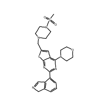 CS(=O)(=O)N1CCN(Cc2cc3c(N4CCOCC4)nc(-c4cccc5c4C=NC5)nc3s2)CC1